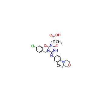 Cc1cc(/N=c2\[nH]c(=O)n(C[C@H](C)C(=O)O)c(=O)n2Cc2ccc(Cl)cc2)ccc1N1CCOCC1